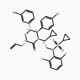 C=CC[C@@H]1O[C@H](c2cccc(Cl)c2)[C@@H](c2ccc(Cl)cc2)N([C@@H](CN(c2c(F)cccc2F)S(=O)(=O)C2CC2)C2CC2)C1=O